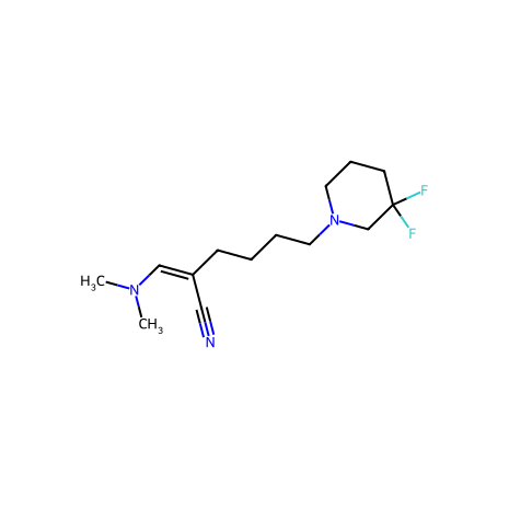 CN(C)/C=C(\C#N)CCCCN1CCCC(F)(F)C1